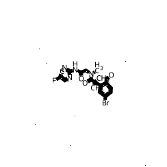 CN(CC(=O)Nc1ncc(F)cn1)C(=O)C(C)(C)c1cc(Br)ccc1C=O